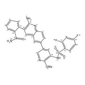 COc1ncc(-c2ccc3nc(N)c(-c4ccccc4C(N)=O)cc3c2)cc1NS(=O)(=O)c1ccc(F)cc1F